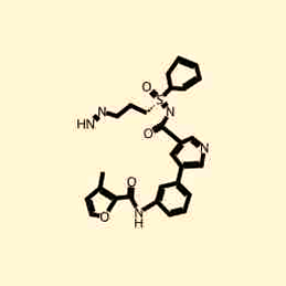 Cc1ccoc1C(=O)Nc1cccc(-c2cncc(C(=O)N=[S@](=O)(CCCN=N)C3C=CC=CC3)c2)c1